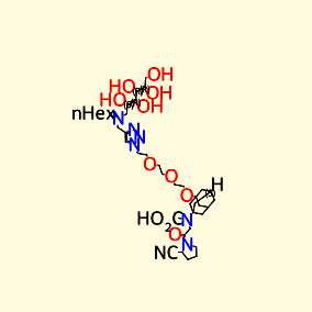 CCCCCCN(Cc1cn(CCOCCOCCOC23CC4C[C@H](C2)CC(N(CC(=O)N2CCCC2C#N)C(=O)O)(C4)C3)nn1)C[C@H](O)[C@@H](O)[C@H](O)[C@H](O)CO